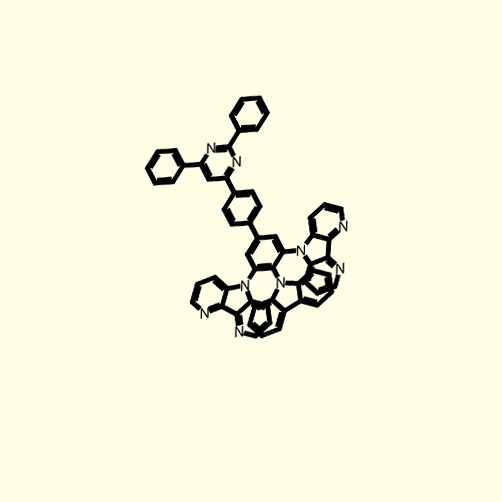 c1ccc(-c2cc(-c3ccc(-c4cc(-n5c6cccnc6c6ncccc65)c(-n5c6ccccc6c6ccccc65)c(-n5c6cccnc6c6ncccc65)c4)cc3)nc(-c3ccccc3)n2)cc1